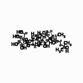 C[C@H](C(O)C[CH]C(C)(C)O)[C@H]1CC[C@@]2(C)[C@@H]3CC=C4C(CCC(OC5OC(CO)C(O)C(O)C5O)C4(C)C)[C@]3(C)C(O)C[C@]12C